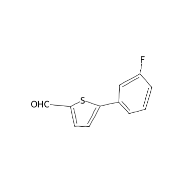 O=Cc1ccc(-c2cccc(F)c2)s1